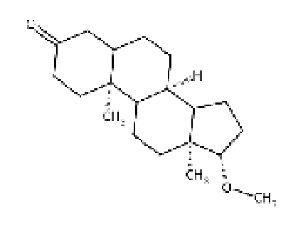 CO[C@H]1CCC2[C@@H]3CCC4CC(=O)CC[C@]4(C)C3CC[C@@]21C